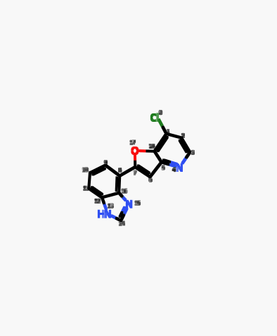 Clc1ccnc2cc(-c3cccc4[nH]cnc34)oc12